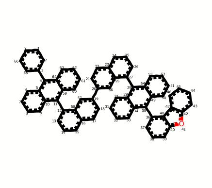 c1ccc(-c2c3ccccc3c(-c3cccc4ccc(-c5ccc6cccc(-c7c8ccccc8c(-c8cccc9oc%10ccccc%10c89)c8ccccc78)c6c5)cc34)c3ccccc23)cc1